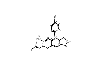 CN(C)CCCc1cc2c(c(-c3ccc(F)cc3)c1C=NO)COC2